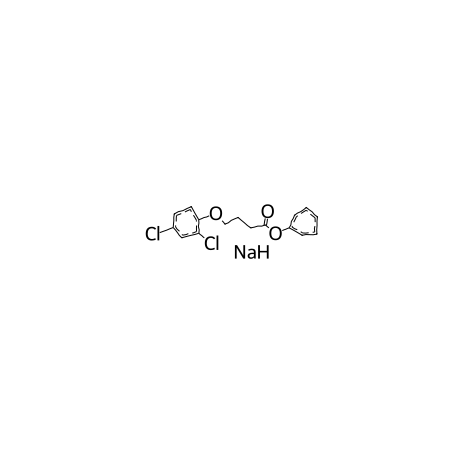 O=C(CCCOc1ccc(Cl)cc1Cl)Oc1ccccc1.[NaH]